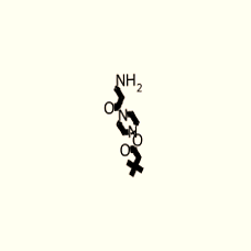 CC(C)(C)CC(=O)ON1CCN(C(=O)CCN)CC1